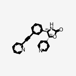 O=C1N[C@H](c2cccc(C#Cc3ccccn3)c2)[C@@H](c2ccncc2)O1